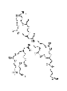 COCCCNC(=O)CN(CCOC(=O)OCCCNC(=O)CN(CCOC(=O)OCCCN)CCOC(=O)OCCCN)CCOC(=O)OCCCNC(=O)CN(CCOC(=O)OCCCN)CCOC(=O)OCCCN